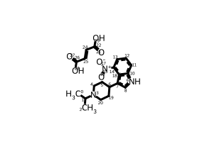 CC(C)N1CCC(c2c[nH]c3cccc([N+](=O)[O-])c23)CC1.O=C(O)C=CC(=O)O